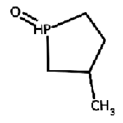 CC1CC[PH](=O)C1